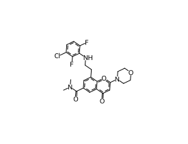 CN(C)C(=O)c1cc(CCNc2c(F)ccc(Cl)c2F)c2oc(N3CCOCC3)cc(=O)c2c1